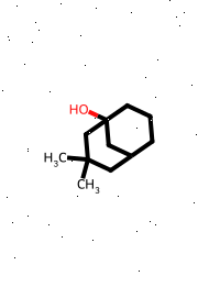 CC1(C)CC2CCCC(O)(C2)C1